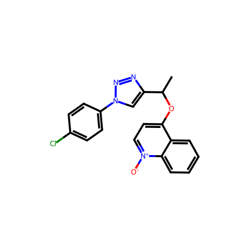 CC(Oc1cc[n+]([O-])c2ccccc12)c1cn(-c2ccc(Cl)cc2)nn1